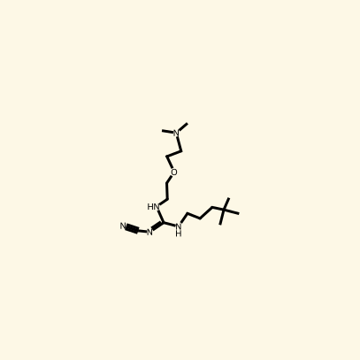 CN(C)CCOCCN/C(=N\C#N)NCCCC(C)(C)C